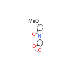 COc1ccc2c(c1)C(=O)N(c1ccc3c(c1)OCCO3)C2